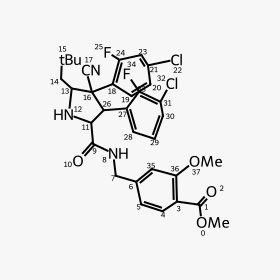 COC(=O)c1ccc(CNC(=O)C2NC(CC(C)(C)C)C(C#N)(c3ccc(Cl)cc3F)C2c2cccc(Cl)c2F)cc1OC